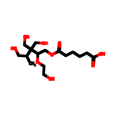 CC(CO)C(CO)(CO)C(COC(=O)CCCCC(=O)O)OCCO